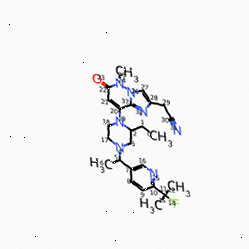 CCC1CN(C(C)c2ccc(C(C)(C)F)nc2)CCN1c1cc(=O)n(C)n2cc(CC#N)nc12